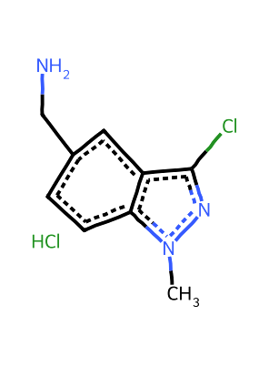 Cl.Cn1nc(Cl)c2cc(CN)ccc21